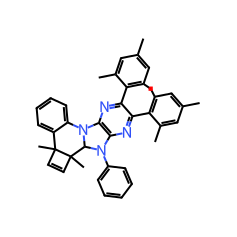 Cc1cc(C)c(-c2nc3c(nc2-c2c(C)cc(C)cc2C)N2c4ccccc4C4(C)C=CC4(C)C2N3c2ccccc2)c(C)c1